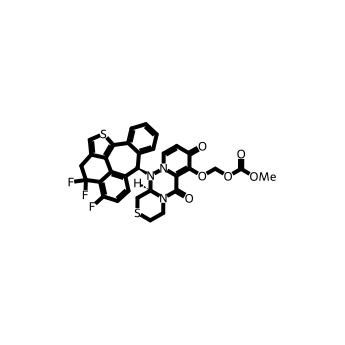 COC(=O)OCOc1c2n(ccc1=O)N([C@@H]1c3ccccc3-c3scc4c3-c3c1ccc(F)c3C(F)(F)C4)[C@@H]1CSCCN1C2=O